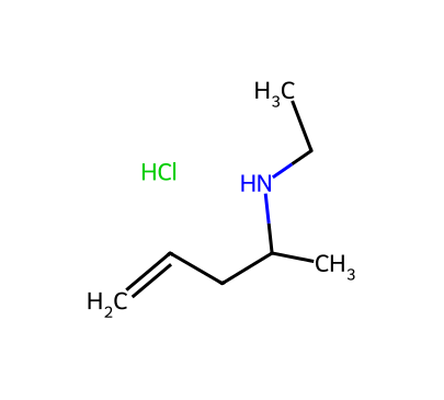 C=CCC(C)NCC.Cl